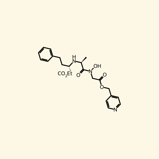 CCOC(=O)[C@H](CCc1ccccc1)N[C@@H](C)C(=O)N(O)CC(=O)OCc1ccncc1